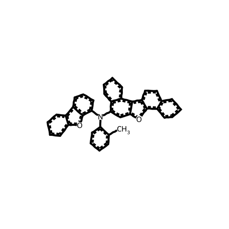 Cc1ccccc1N(c1cc2oc3c4ccccc4ccc3c2c2ccccc12)c1cccc2c1oc1ccccc12